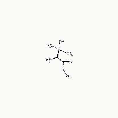 CCC(=O)C(N)C(C)(C)O